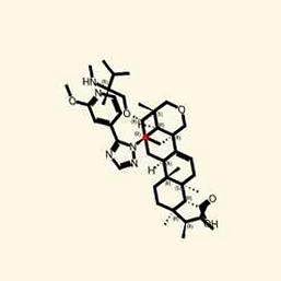 CN[C@@](C)(CO[C@H]1[C@H](n2ncnc2-c2ccnc(OC)c2)C[C@@]23COC[C@]1(C)[C@@H]2CC[C@H]1C3=CC[C@@]2(C)[C@H](C(=O)O)[C@@](C)([C@H](C)C(C)C)CC[C@]12C)C(C)C